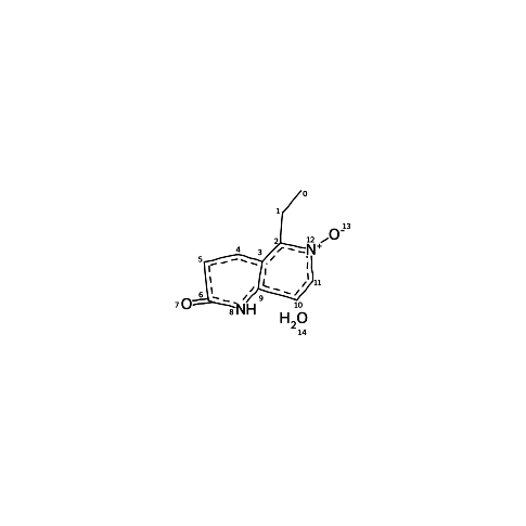 CCc1c2ccc(=O)[nH]c2cc[n+]1[O-].O